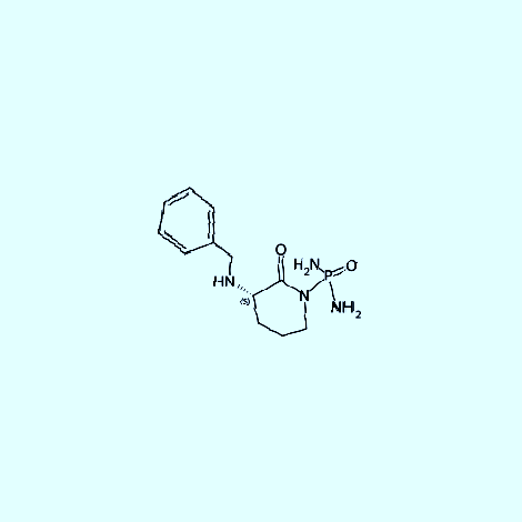 NP(N)(=O)N1CCC[C@H](NCc2ccccc2)C1=O